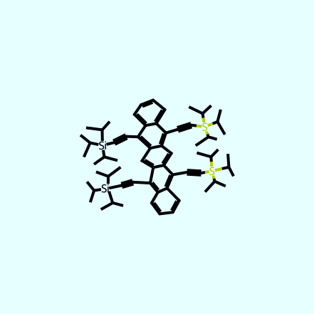 CC(C)[Si](C#Cc1c2ccccc2c(C#CS(C(C)C)(C(C)C)C(C)C)c2cc3c(C#CS(C(C)C)(C(C)C)C(C)C)c4ccccc4c(C#C[Si](C(C)C)(C(C)C)C(C)C)c3cc12)(C(C)C)C(C)C